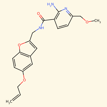 C=CCOc1ccc2oc(CNC(=O)c3ccc(COC)nc3N)cc2c1